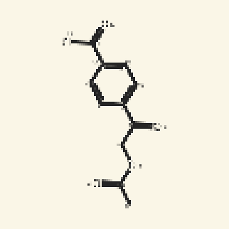 CC(=O)OCC(=O)c1ccc(C(=O)Cl)cc1